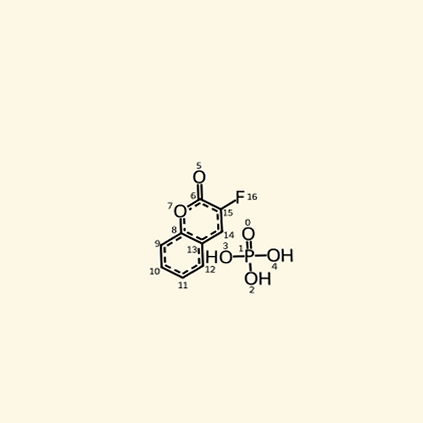 O=P(O)(O)O.O=c1oc2ccccc2cc1F